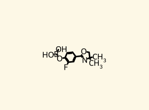 CC1(C)COC(c2ccc(OB(O)O)c(F)c2)=N1